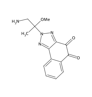 COC(C)(CN)n1nc2c(n1)-c1ccccc1C(=O)C2=O